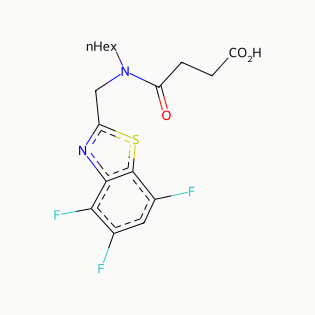 CCCCCCN(Cc1nc2c(F)c(F)cc(F)c2s1)C(=O)CCC(=O)O